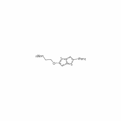 [CH2]CCC(C)c1cc2sc(OCCCCCCCCCCC)cc2s1